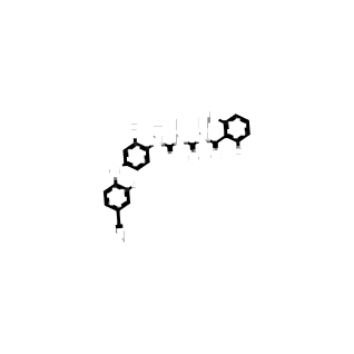 N#Cc1ccc(Oc2ccc(NC(=O)NC(=O)NC(=O)c3c(F)cccc3F)c(F)c2)c(Cl)c1